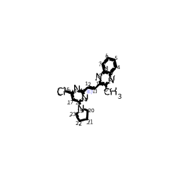 Cc1nc2ccccc2nc1/C=C/c1nc(Cl)cc(N2CCCC2)n1